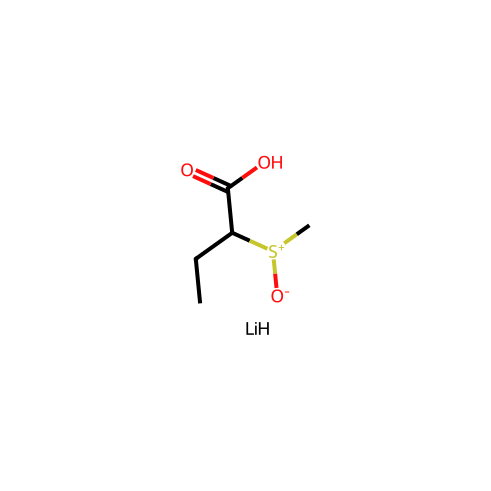 CCC(C(=O)O)[S+](C)[O-].[LiH]